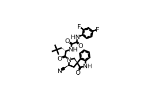 CC(C)(C)C[C@H](NC(=O)C(=O)Nc1ccc(F)cc1F)C(=O)N1C[C@]2(C[C@H]1C#N)C(=O)Nc1ccccc12